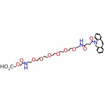 O=C(O)COCC(=O)NCCOCCOCCOCCOCCOCCOCCNC(=O)CCC(=O)N1Cc2ccccc2/C=C\c2ccccc21